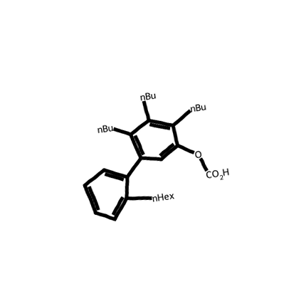 CCCCCCc1ccccc1-c1cc(OC(=O)O)c(CCCC)c(CCCC)c1CCCC